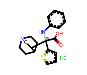 Cl.O=C(O)[C@@](Nc1ccccc1)(c1cccs1)C1CN2CCC1CC2